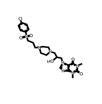 Cn1c(=O)c2c(ncn2CC(O)CN2CCN(CCCS(=O)(=O)c3ccc(Cl)cc3)CC2)n(C)c1=O